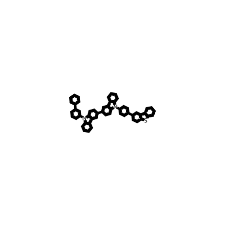 c1ccc(-c2cccc(-n3c4ccccc4c4cc(-c5ccc6c(c5)c5ccccc5n6-c5ccc(-c6ccc7sc8ccccc8c7c6)cc5)ccc43)c2)cc1